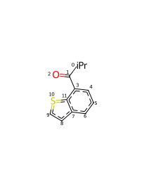 CC(C)C(=O)c1cccc2ccsc12